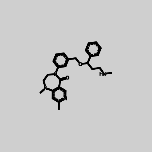 CNCCC(OCc1cccc(N2CCN(C)c3cc(C)ncc3C2=O)c1)c1ccccc1